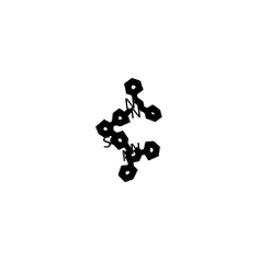 c1ccc(-c2cc(-c3ccccc3)nc(-c3ccc(-c4cccc5sc6cc(-c7nc(-c8ccccc8)cc(-c8ccccc8)n7)ccc6c45)cc3)n2)cc1